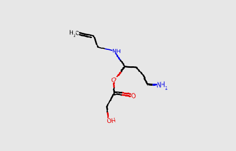 C=CCNC(CCN)OC(=O)CO